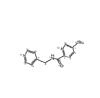 CC(C)(C)c1ccc(C(=O)NCc2ccncc2)nc1